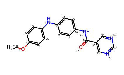 COc1ccc(Nc2ccc(NC(=O)c3cncnc3)cc2)cc1